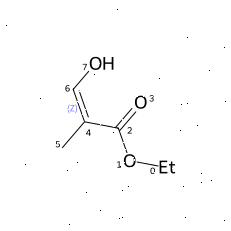 CCOC(=O)/C(C)=C\O